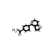 NC(=O)c1ccc(-c2nccc3occc23)cc1